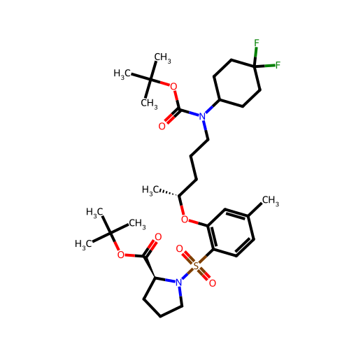 Cc1ccc(S(=O)(=O)N2CCC[C@H]2C(=O)OC(C)(C)C)c(O[C@H](C)CCCN(C(=O)OC(C)(C)C)C2CCC(F)(F)CC2)c1